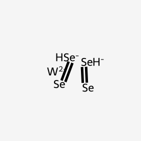 [Se]=[SeH-].[Se]=[SeH-].[W+2]